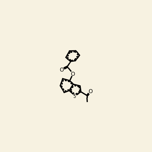 CC(=O)c1cc2c(OC(=O)c3ccccc3)cccc2s1